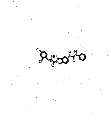 N[C@H](Cc1ccc(Cl)cc1Cl)C(=O)N1Cc2ccc(NC(=O)Nc3ccccc3)cc2C1